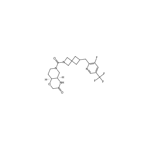 O=C1CO[C@H]2CCN(C(=O)N3CC4(CC(Cc5ncc(C(F)(F)F)cc5F)C4)C3)C[C@H]2N1